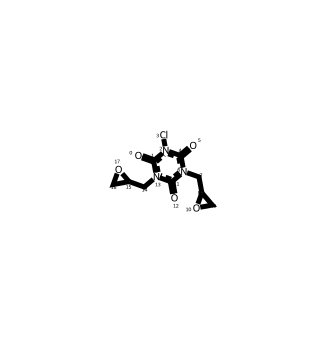 O=c1n(Cl)c(=O)n(CC2CO2)c(=O)n1CC1CO1